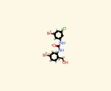 O=C(Nc1cc(Cl)cc(Br)c1)Nc1cc(Br)ccc1CO